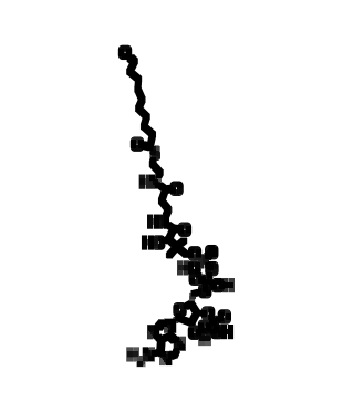 CC(C)(COP(=O)(O)OP(=O)(O)OC[C@H]1O[C@@H](n2cnc3c(N)ncnc32)[C@H](O)[C@@H]1OP(=O)(O)O)C(O)C(=O)NCCC(=O)NCCSC(=O)CCCCCCCCC=O